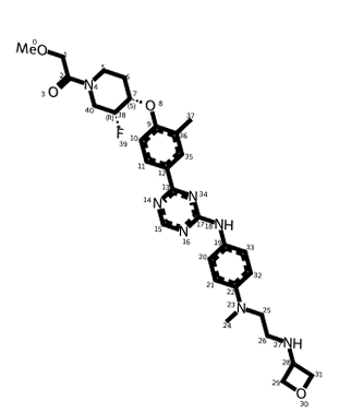 COCC(=O)N1CC[C@H](Oc2ccc(-c3ncnc(Nc4ccc(N(C)CCNC5COC5)cc4)n3)cc2C)[C@H](F)C1